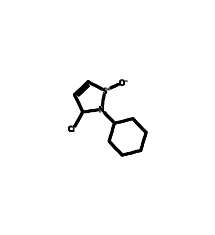 [O-][S+]1C=CC(Cl)N1C1CCCCC1